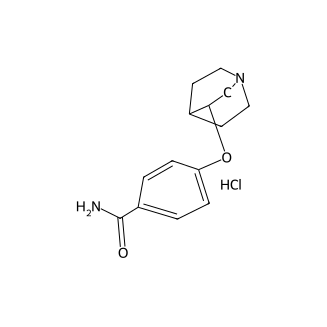 Cl.NC(=O)c1ccc(OC2CN3CCC2CC3)cc1